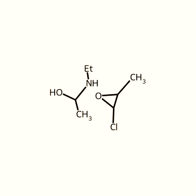 CC1OC1Cl.CCNC(C)O